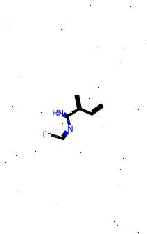 C=CC(=C)C(=N)/N=C\CC